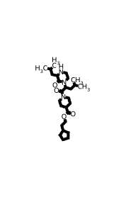 CC(C)CC1NCCN(C(CC(C)C)C(=O)N2CCC(C(=O)OCCC3CCCC3)CC2)C1=O